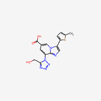 Cc1ccc(-c2cnc3c(-n4nnnc4CO)cc(C(=O)O)cn23)s1